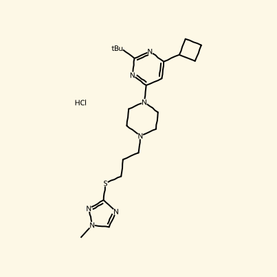 Cl.Cn1cnc(SCCCN2CCN(c3cc(C4CCC4)nc(C(C)(C)C)n3)CC2)n1